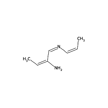 C\C=C/N=C\C(N)=C/C